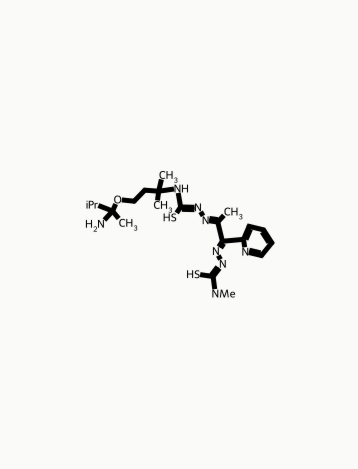 CN/C(S)=N/N=C(/C(C)=N/N=C(\S)NC(C)(C)CCOC(C)(N)C(C)C)c1ccccn1